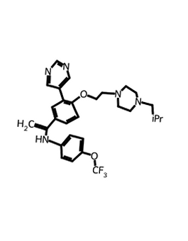 C=C(Nc1ccc(OC(F)(F)F)cc1)c1ccc(OCCN2CCN(CC(C)C)CC2)c(-c2cncnc2)c1